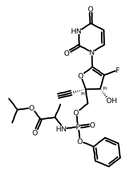 C#C[C@]1(COP(=O)(NC(C)C(=O)OC(C)C)Oc2ccccc2)OC(n2ccc(=O)[nH]c2=O)=C(F)[C@@H]1O